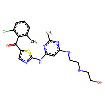 Cc1nc(NCCNCCO)cc(Nc2ncc(C(=O)c3c(C)cccc3Cl)s2)n1